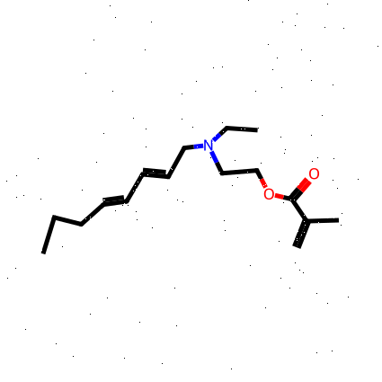 C=C(C)C(=O)OCCN(CC)C/C=C/C=C/CCC